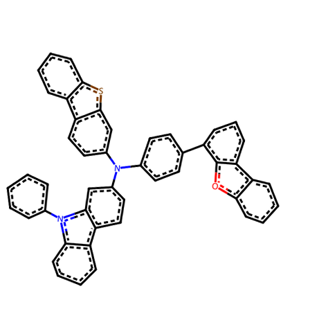 c1ccc(-n2c3ccccc3c3ccc(N(c4ccc(-c5cccc6c5oc5ccccc56)cc4)c4ccc5c(c4)sc4ccccc45)cc32)cc1